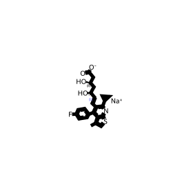 Cc1csc2nc(C3CC3)c(/C=C/[C@@H](O)C[C@@H](O)CC(=O)[O-])c(-c3ccc(F)cc3)c12.[Na+]